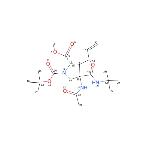 C=CCC1[C@@H](C(=O)OC)N(C(=O)OC(C)(C)C)CC1(NC(C)=O)C(=O)NC(C)(C)C